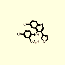 O=C(O)c1cc(Cl)ccc1Nc1c(C2=CCOC2)cnc2ccc(Cl)cc12